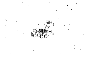 [O-][SiH3].[O-][SiH3].[O-][SiH3].[O-][SiH3].[O-][SiH3].[V+5]